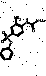 CC(=O)NC(=O)Nc1ccc(S(=O)(=O)Oc2ccccc2)cc1[N+](=O)[O-]